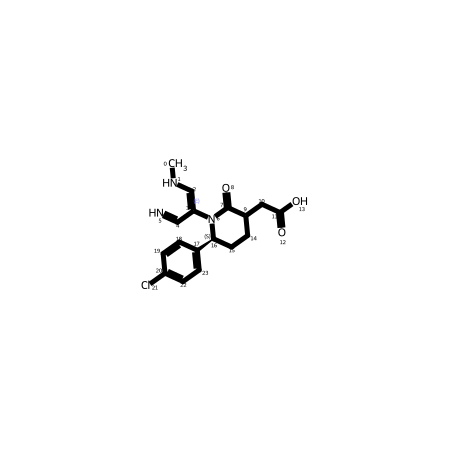 CN/C=C(\C=N)N1C(=O)C(CC(=O)O)CC[C@H]1c1ccc(Cl)cc1